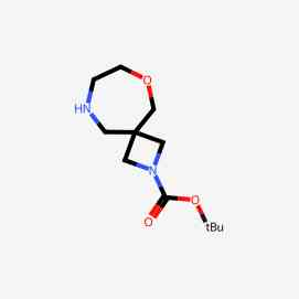 CC(C)(C)OC(=O)N1CC2(CNCCOC2)C1